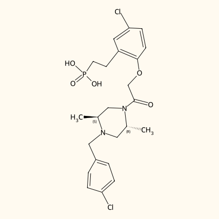 C[C@@H]1CN(Cc2ccc(Cl)cc2)[C@@H](C)CN1C(=O)COc1ccc(Cl)cc1CCP(=O)(O)O